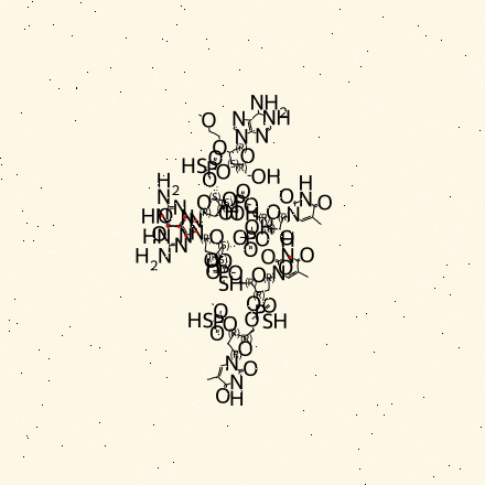 COCCOC1[C@@H](OP(=O)(S)OC[C@]23O[C@@H](n4cnc5c(=O)[nH]c(N)nc54)C(O[C@H]2C)[C@H]3OP(=O)(O)OC[C@H]2O[C@@H](n3cc(C)c(=O)[nH]c3=O)C(OCCOC)[C@H]2OP(=O)(O)OC[C@]23O[C@@H](n4cnc5c(=O)[nH]c(N)nc54)C(O[C@H]2C)[C@H]3OP(=O)(S)OC[C@H]2O[C@@H](n3cc(C)c(=O)[nH]c3=O)C[C@H]2OP(=O)(S)OC[C@H]2O[C@@H](n3cc(C)c(=O)[nH]c3=O)C[C@H]2OP(=O)(S)OC)[C@@H](CO)O[C@H]1n1cnc2c1N=CNC2N